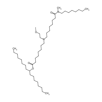 CCCCCCCCC(CCCCCCCC)OC(=O)CCCCCCCN(CCCCCCCC(=O)N(C)CCCCCCCC)CCOI